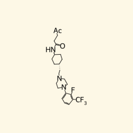 CC(=O)CCC(=O)N[C@H]1CC[C@H](CCN2CCN(c3cccc(C(F)(F)F)c3F)CC2)CC1